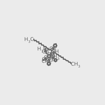 CCCCCCCCCCCCC/C=C/[C@@H](OC(=O)c1ccccc1)[C@H](CO[C@@]1(C)O[C@H](COC(=O)OC)[C@H](OC(=O)OC)[C@H](OC(=O)c2ccccc2)[C@H]1OC(=O)c1ccccc1)NC(=O)CCCCCCCCCCCCCCC